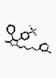 Cc1cc(CCCCCC2OC(=O)C(c3ccccc3)=C2c2ccc(S(C)(=O)=O)cc2)ccn1